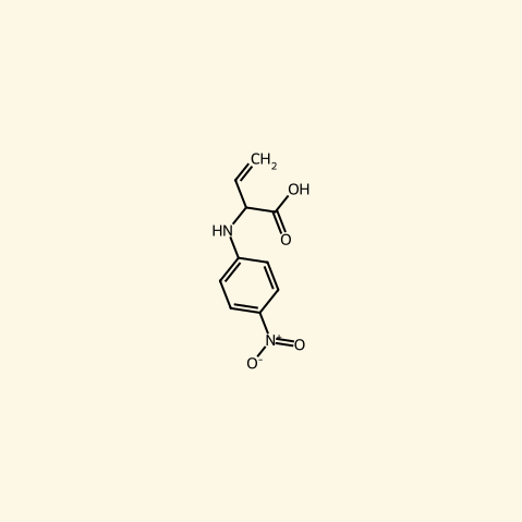 C=CC(Nc1ccc([N+](=O)[O-])cc1)C(=O)O